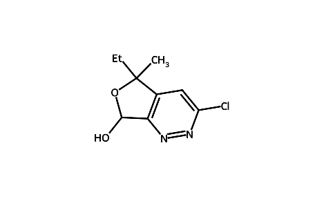 CCC1(C)OC(O)c2nnc(Cl)cc21